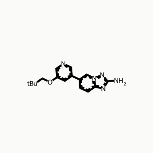 CC(C)(C)COc1cncc(-c2ccc3nc(N)nn3c2)c1